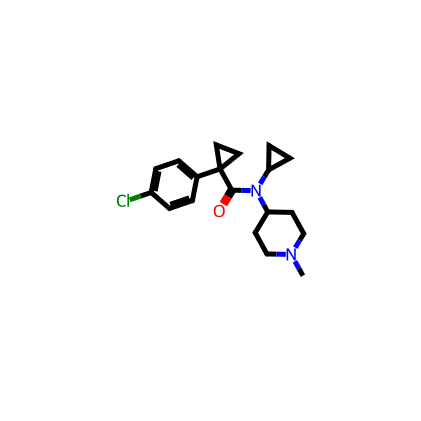 CN1CCC(N(C(=O)C2(c3ccc(Cl)cc3)CC2)C2CC2)CC1